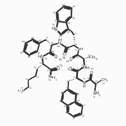 C[C@H](NC(=O)[C@@H](Cc1ccc2ccccc2c1)NC(=O)[C@@H](C)N)C(=O)N[C@@H](Cc1c[nH]c2ccccc12)C(=O)N[C@@H](Cc1ccccc1)C(=O)N[C@@H](CCCCN)C(N)=O